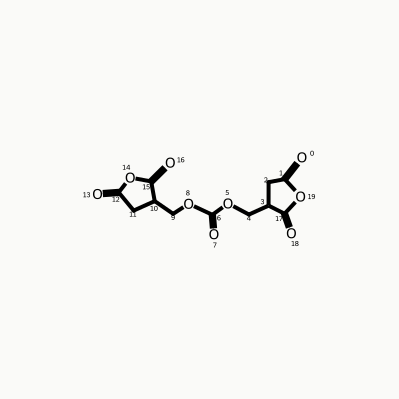 O=C1CC(COC(=O)OCC2CC(=O)OC2=O)C(=O)O1